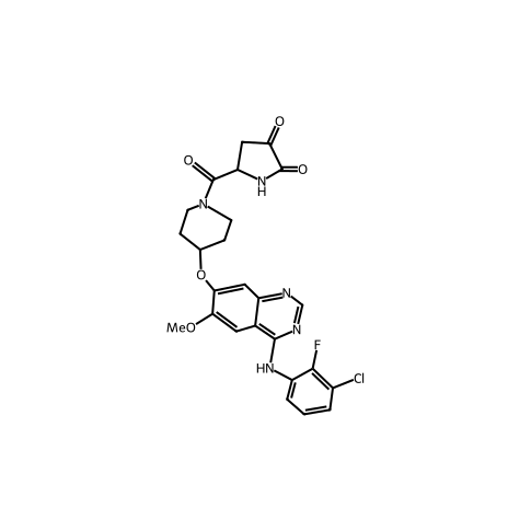 COc1cc2c(Nc3cccc(Cl)c3F)ncnc2cc1OC1CCN(C(=O)C2CC(=O)C(=O)N2)CC1